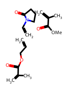 C=C(C)C(=O)OC.C=CCOC(=O)C(=C)C.C=CN1CCCC1=O